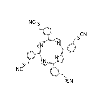 N#CSCc1cccc(C2=C3C=CC(=N3)C(c3cccc(CSC#N)c3)=C3C=CC(=N3)C(c3cccc(CSC#N)c3)=C3C=CC(=N3)C(c3cccc(CSC#N)c3)=C3C=CC2=N3)c1